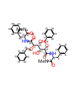 CNC(=O)[C@H](Cc1ccccc1)NC(=O)[C@H](OCc1ccccc1)[C@H](O)[C@@H](O)[C@@H](OCc1ccccc1)C(=O)N[C@@H](Cc1ccccc1)C(=O)NC